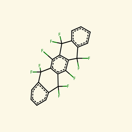 Fc1c2c(c(F)c3c1C(F)(F)c1ccccc1C3(F)F)C(F)(F)c1ccccc1C2(F)F